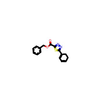 O=C(OCc1ccccc1)c1nnc(C2=CC=CCC2)s1